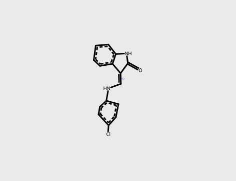 O=C1Nc2ccccc2/C1=C\Nc1ccc(Cl)cc1